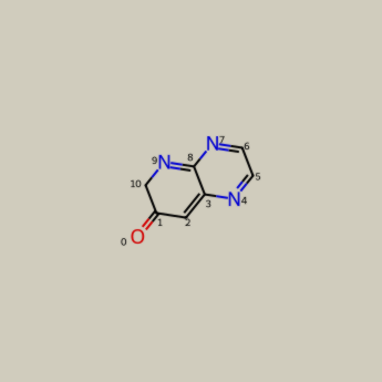 O=C1C=c2nccnc2=NC1